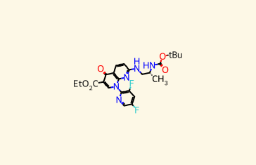 CCOC(=O)c1cn(-c2ncc(F)cc2F)c2nc(NC[C@@H](C)NC(=O)OC(C)(C)C)ccc2c1=O